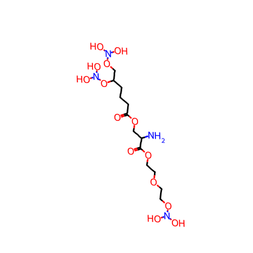 NC(COC(=O)CCCC(CON(O)O)ON(O)O)C(=O)OCCOCCON(O)O